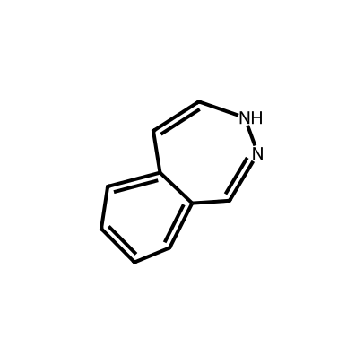 C1=Cc2ccccc2C=NN1